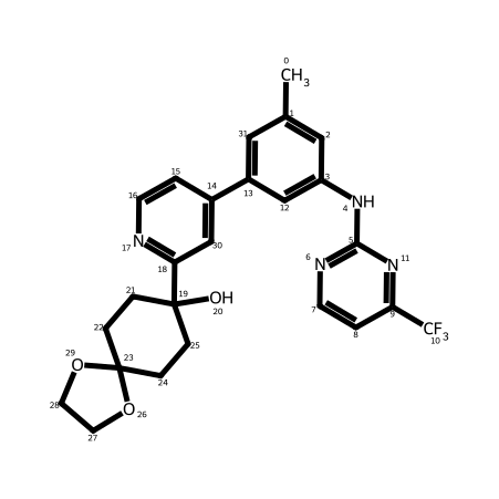 Cc1cc(Nc2nccc(C(F)(F)F)n2)cc(-c2ccnc(C3(O)CCC4(CC3)OCCO4)c2)c1